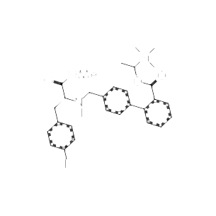 COC(=O)[C@H](Cc1ccc(F)cc1)NCc1ccc(-c2ccccc2C(=O)OC(C)[Si](C)(C)C)cc1